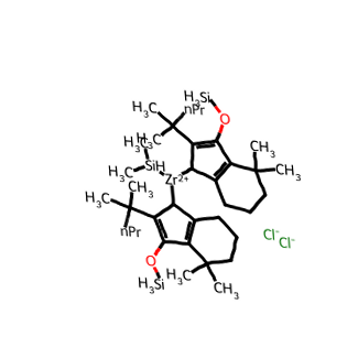 CCCC(C)(C)C1=C(O[SiH3])C2=C(CCCC2(C)C)[CH]1[Zr+2]([CH]1C2=C(C(O[SiH3])=C1C(C)(C)CCC)C(C)(C)CCC2)[SiH](C)C.[Cl-].[Cl-]